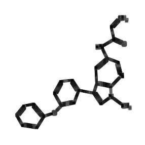 C=CC(=O)Nc1cnc2c(c1)c(-c1cccc(Oc3ccccc3)c1)cn2C